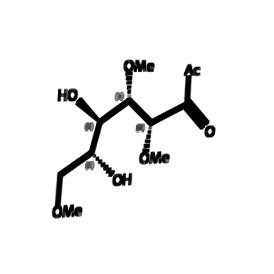 COC[C@@H](O)[C@@H](O)[C@H](OC)[C@@H](OC)C(=O)C(C)=O